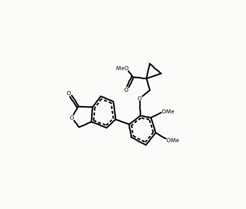 COC(=O)C1(COc2c(-c3ccc4c(c3)COC4=O)ccc(OC)c2OC)CC1